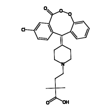 CC(C)(CCN1CCC(=C2c3ccccc3OOC(=O)c3cc(Cl)ccc32)CC1)C(=O)O